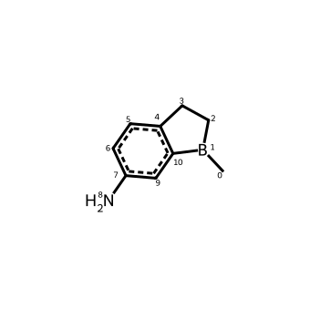 CB1CCc2ccc(N)cc21